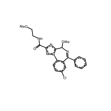 COCCNC(=O)c1nc2n(n1)-c1ccc(Cl)cc1C(c1ccccc1)=NC2OC